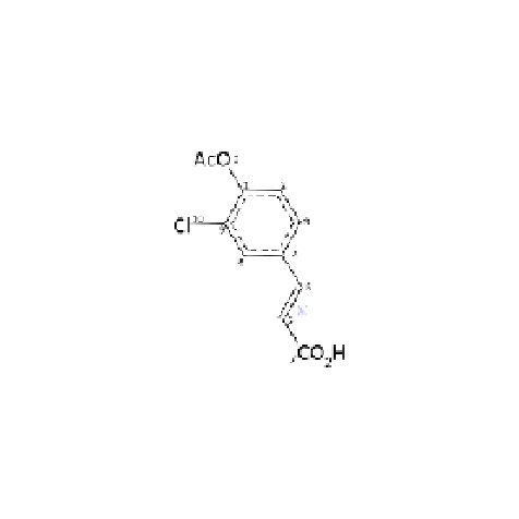 CC(=O)Oc1ccc(/C=C/C(=O)O)cc1Cl